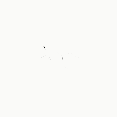 C[P@@](=O)(O)OC(CO)CO